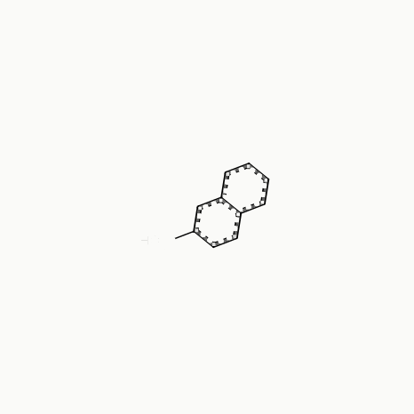 O=S(=O)(O)c1c[c]c2c[c]ccc2c1